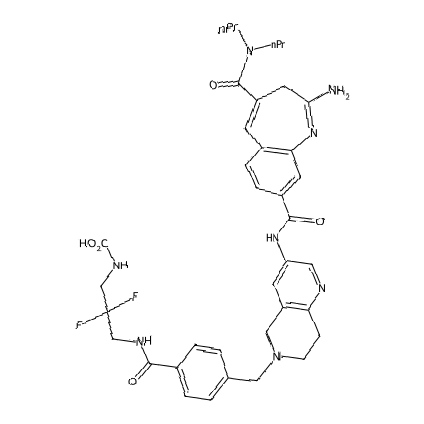 CCCN(CCC)C(=O)C1=Cc2ccc(C(=O)Nc3cnc4c(c3)CN(Cc3ccc(C(=O)NCC(F)(F)CNC(=O)O)cc3)CC4)cc2N=C(N)C1